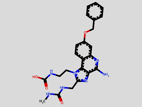 CNC(=O)NCc1nc2c(N)nc3cc(OCc4ccccc4)ccc3c2n1CCNC(=O)O